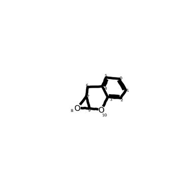 c1ccc2c(c1)CC1OC1O2